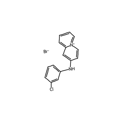 Clc1cccc(Nc2cc[n+]3ccccc3c2)c1.[Br-]